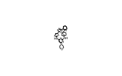 OC12CCC(Nc3nc(Nc4ncc(-c5nnc(-c6ccccc6)o5)s4)cc(N4CCOCC4)n3)(CC1)CC2